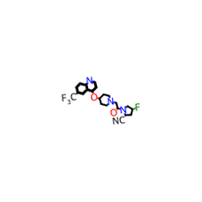 N#C[C@@H]1C[C@H](F)CN1C(=O)CN1CCC(Oc2ccnc3ccc(C(F)(F)F)cc23)CC1